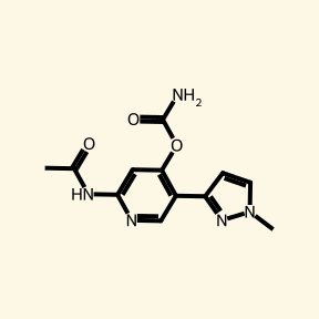 CC(=O)Nc1cc(OC(N)=O)c(-c2ccn(C)n2)cn1